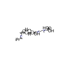 C/C(=C\CP(=O)(O)O)CC/C=C(\C)C[C@]1(O)CC[C@@]2(C)C(=CC=C3[C@@H]4CC[C@H]([C@H](C)/C=C/[C@H](C)C(C)C)[C@@]4(C)CC[C@@H]32)C1